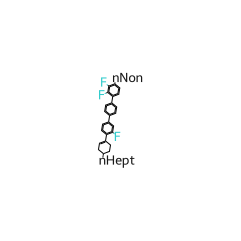 CCCCCCCCCc1ccc(-c2ccc(-c3ccc(C4=CCC(CCCCCCC)CC4)c(F)c3)cc2)c(F)c1F